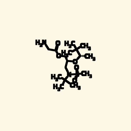 C[C@H](O[C@H](COC(=O)CN)CN(C(C)(C)C)S(C)(=O)=O)C(C)(C)C